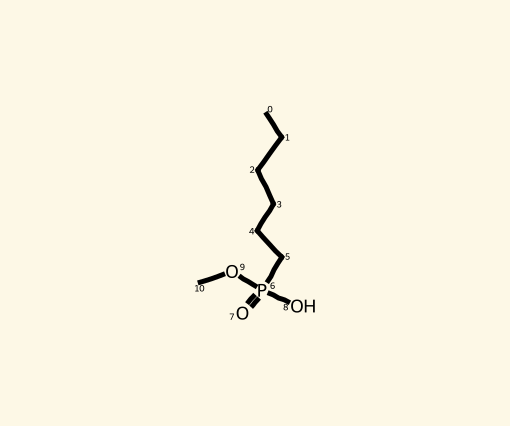 CCCCCCP(=O)(O)OC